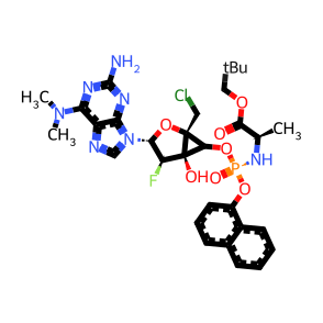 C[C@@H](N[P@@](=O)(Oc1cccc2ccccc12)OC1[C@@]2(CCl)O[C@@H](n3cnc4c(N(C)C)nc(N)nc43)[C@H](F)[C@@]12O)C(=O)OCC(C)(C)C